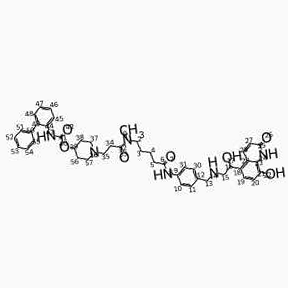 CN(CCCCC(=O)Nc1ccc(CNCC(O)c2ccc(O)c3[nH]c(=O)ccc23)cc1)C(=O)CCN1CCC(OC(=O)Nc2ccccc2-c2ccccc2)CC1